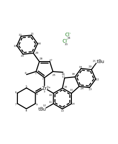 CC1=[C]([Zr+2](=[C]2CCCCC2)[c]2c(C(C)(C)C)ccc3c2Cc2cc(C(C)(C)C)ccc2-3)C(C)C=C1c1ccccc1.[Cl-].[Cl-]